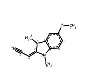 COc1ccc2c(c1)N(C)C(=CC#N)N2C